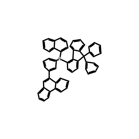 c1ccc(C2(c3ccccc3)c3ccccc3-c3c(N(c4cccc(-c5cc6ccccc6c6ccccc56)c4)c4cccc5ccccc45)cccc32)cc1